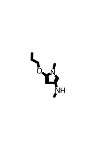 CCCOc1cc(NC)cn1C